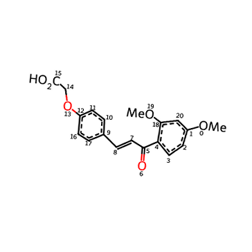 COc1ccc(C(=O)C=Cc2ccc(OCC(=O)O)cc2)c(OC)c1